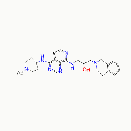 CC(=O)N1CCC(Nc2ncnc3c(NC[C@@H](O)CN4CCc5ccccc5C4)nccc23)CC1